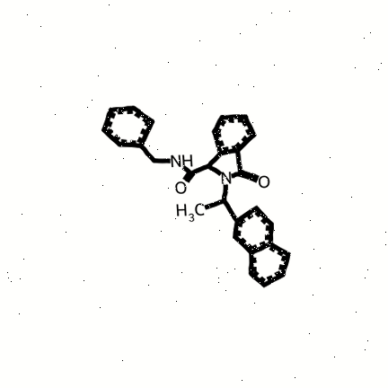 CC(c1ccc2ccccc2c1)N1C(=O)c2ccccc2C1C(=O)NCc1ccccc1